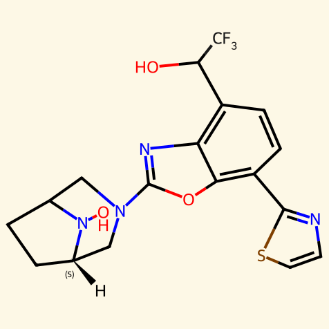 OC(c1ccc(-c2nccs2)c2oc(N3CC4CC[C@@H](C3)N4O)nc12)C(F)(F)F